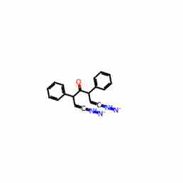 [N-]=[N+]=C=CC(C(=O)C(C=C=[N+]=[N-])c1ccccc1)c1ccccc1